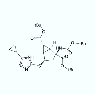 CC(C)(C)OC(=O)N[C@@]1(C(=O)OC(C)(C)C)C[C@@H](Sc2nnc(C3CC3)[nH]2)C2[C@H](C(=O)OC(C)(C)C)[C@H]21